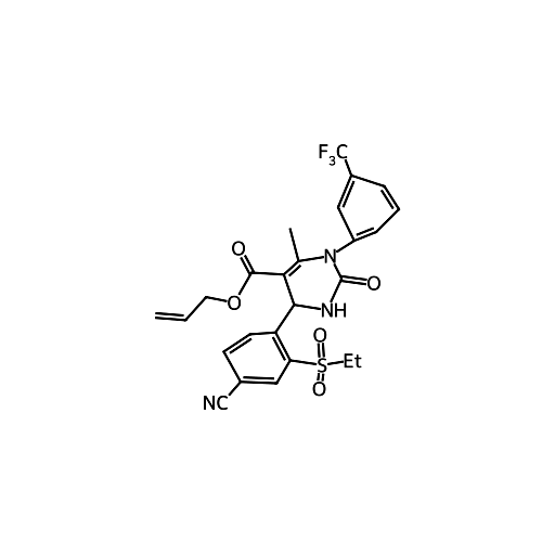 C=CCOC(=O)C1=C(C)N(c2cccc(C(F)(F)F)c2)C(=O)NC1c1ccc(C#N)cc1S(=O)(=O)CC